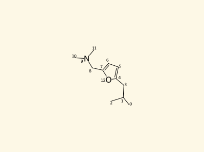 CC(C)Cc1ccc(CN(C)C)o1